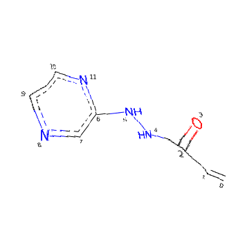 C=CC(=O)NNc1cnccn1